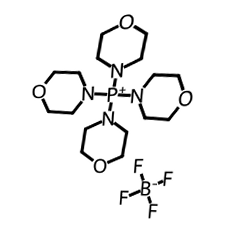 C1CN([P+](N2CCOCC2)(N2CCOCC2)N2CCOCC2)CCO1.F[B-](F)(F)F